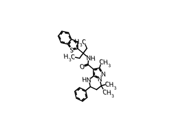 CCC(CC)(NC(=O)c1c(C)nn2c1NC(c1ccccc1)CC2(C)C)c1cc2ccccc2s1